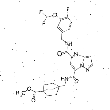 COC(=O)C12CCC(CNC(=O)c3cc(C(=O)NCc4ccc(F)c(OC(F)F)c4)nc4ccnn34)(CC1)CC2